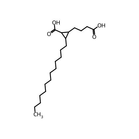 CCCCCCCCCCCCCC1C(CCCC(=O)O)C1C(=O)O